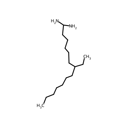 CCCCCCCC(CC)CCCCCC(N)N